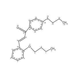 CCCCOc1ccccc1/C=C/C(=O)c1ccc(SCCC)cc1